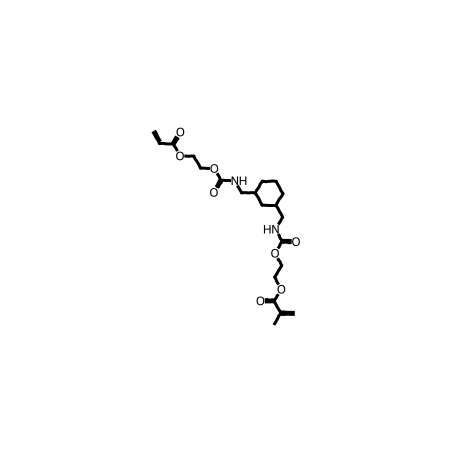 C=CC(=O)OCCOC(=O)NCC1CCCC(CNC(=O)OCCOC(=O)C(=C)C)C1